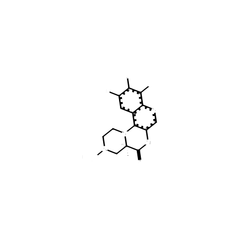 O=C1Nc2cnc3c(F)c(Br)c(F)cc3c2N2CCN(C(=O)O)C[C@H]12